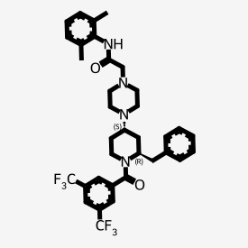 Cc1cccc(C)c1NC(=O)CN1CCN([C@H]2CCN(C(=O)c3cc(C(F)(F)F)cc(C(F)(F)F)c3)[C@H](Cc3ccccc3)C2)CC1